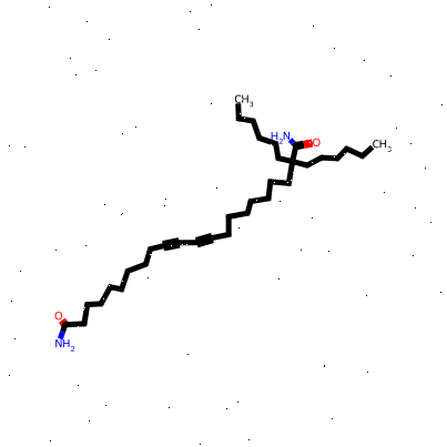 CCCCCCC(CCCCCC)(CCCCCCCC#CC#CCCCCCCCCC(N)=O)C(N)=O